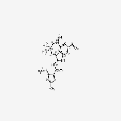 CCn1nc(C)cc1C(=O)NC1Nc2cc(C=O)cc3c2N1CC(C)(C)CN3C